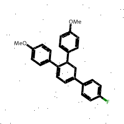 COc1ccc(C2=CC=C(c3ccc(F)cc3)CC2c2ccc(OC)cc2)cc1